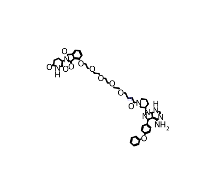 NC1=C2C(c3ccc(Oc4ccccc4)cc3)=NN(C3CCCN(C(=O)/C=C/COCCOCCOCCOCCOc4cccc5c4C(=O)N(C4CCC(=O)NC4=O)C5=O)C3)C2NC=N1